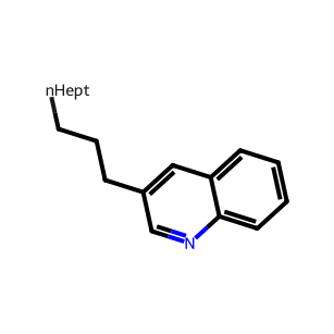 CCCCCCCCCCc1cnc2ccccc2c1